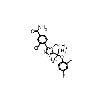 CCn1c(-c2ccc(C(N)=O)cc2Cl)nnc1C(C)(C)Oc1ccc(F)cc1F